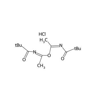 CC(=NC(=O)C(C)(C)C)OC(C)=NC(=O)C(C)(C)C.Cl